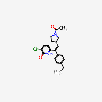 CCc1ccc(C(=C[C@H]2CCN(C(C)=O)C2)c2ccc(Cl)c(=O)[nH]2)cc1